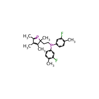 CC1=PC(C)(CCP(c2ccc(C)c(F)c2)c2ccc(C)c(F)c2)C(C)=C1C